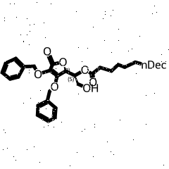 CCCCCCCCCCCCCCCC(=O)O[C@@H](CO)[C@H]1OC(=O)C(OCc2ccccc2)=C1OCc1ccccc1